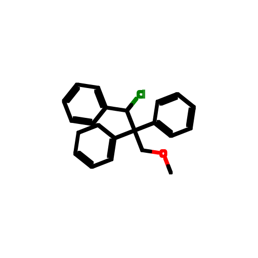 COCC(C1=CC=CCC1)(c1ccccc1)C(Cl)c1ccccc1